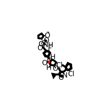 CO[C@@H]1CCC[C@H]1S(=O)(=O)NC(=O)c1ccc(N2C(=O)[C@@H]3C[C@H]2C[C@H]3OCc2c(-c3c(Cl)cccc3Cl)noc2C2CC2)cc1F